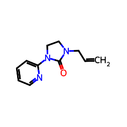 C=CCN1CCN(c2ccccn2)C1=O